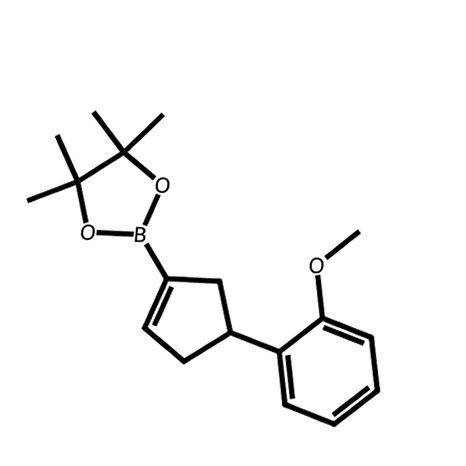 COc1ccccc1C1CC=C(B2OC(C)(C)C(C)(C)O2)C1